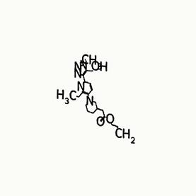 C=CCOC(=O)CC1CCCN(c2ccc(-c3nnn(C)c3CO)nc2CC)C1